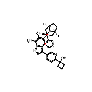 CC(=O)c1c([C@@H]2C[C@H]3CC[C@@H](C2)N3C(=O)c2nnc[nH]2)nc2c(-c3ccc(C4(O)CCC4)nc3)cnn2c1N